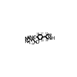 C[C@@H](Cn1cnnn1)Oc1cc(-c2cn[nH]c2)ccc1C#N